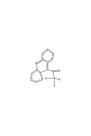 O=C(S1=c2ccccc2=Nc2ccccc21)C(F)(F)F